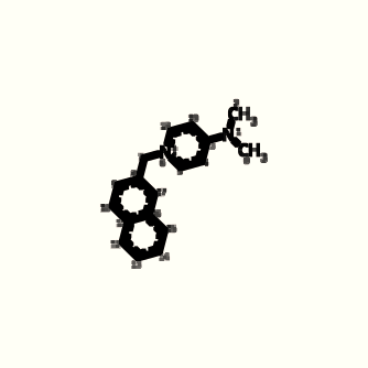 CN(C)c1cc[n+](Cc2ccc3ccccc3c2)cc1